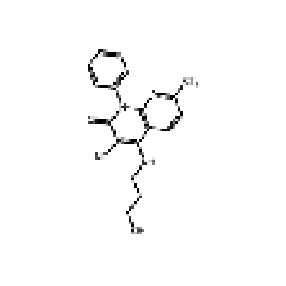 N#Cc1c(NCCCO)c2ccc(C(F)(F)F)nc2n(-c2ccccc2)c1=O